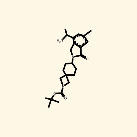 Cc1cc2c(c(C(C)N)c1)CN(C1CCC3(CC1)CN(C(=O)OC(C)(C)C)C3)C2=O